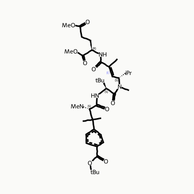 CN[C@H](C(=O)N[C@H](C(=O)N(C)[C@H](/C=C(\C)C(=O)N[C@H](CCC(=O)OC)C(=O)OC)C(C)C)C(C)(C)C)C(C)(C)c1ccc(C(=O)OC(C)(C)C)cc1